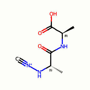 [C-]#[N+]N[C@@H](C)C(=O)N[C@H](C)C(=O)O